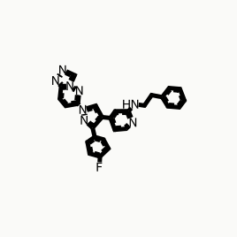 Fc1ccc(-c2nn(-c3ccc4nncn4n3)cc2-c2ccnc(NCCc3ccccc3)c2)cc1